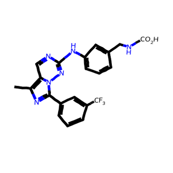 Cc1nc(-c2cccc(C(F)(F)F)c2)n2nc(Nc3cccc(CNC(=O)O)c3)ncc12